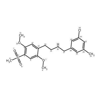 COc1cc(S(C)(=O)=O)c(OC)cc1CCNCc1cc(C)cc(Cl)c1